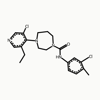 CCc1cncc(Cl)c1N1CCCN(C(=O)Nc2ccc(C)c(Cl)c2)CC1